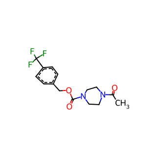 CC(=O)N1CCN(C(=O)OCc2ccc(C(F)(F)F)cc2)CC1